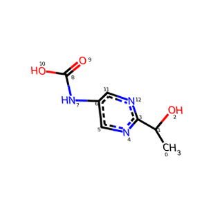 CC(O)c1ncc(NC(=O)O)cn1